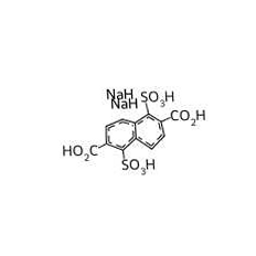 O=C(O)c1ccc2c(S(=O)(=O)O)c(C(=O)O)ccc2c1S(=O)(=O)O.[NaH].[NaH]